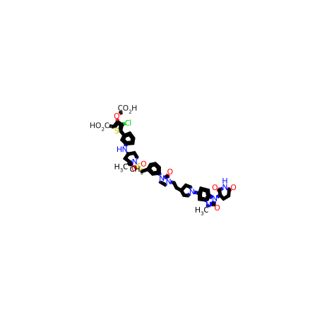 Cn1c(=O)n(C2CCC(=O)NC2=O)c2ccc(N3CCC(CCN4CCN(c5cccc(CS(=O)(=O)N6CC[C@H](Nc7cccc(-c8sc(C(=O)O)c(OCC(=O)O)c8Cl)c7)CC6(C)C)c5)C4=O)CC3)cc21